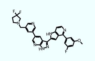 COc1cc(F)cc(-c2nccc3[nH]c(-c4n[nH]c5ncc(-c6cncc(CN7CCC(F)(F)C7)c6)cc45)cc23)c1